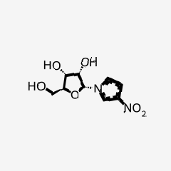 O=[N+]([O-])c1ccn([C@@H]2O[C@@H](CO)[C@H](O)[C@@H]2O)c1